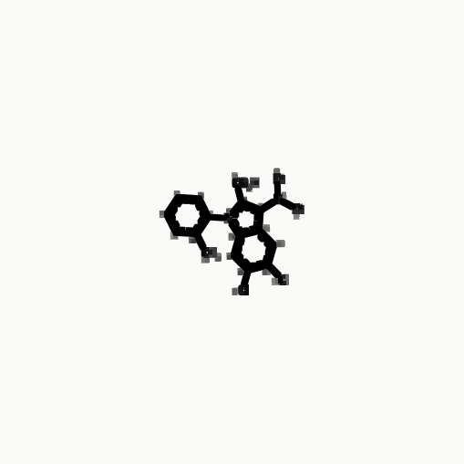 CCN(CC)c1c(C(=O)O)n(-c2ccccc2C)c2cc(Cl)c(Cl)cc12